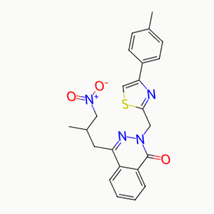 Cc1ccc(-c2csc(Cn3nc(CC(C)C[N+](=O)[O-])c4ccccc4c3=O)n2)cc1